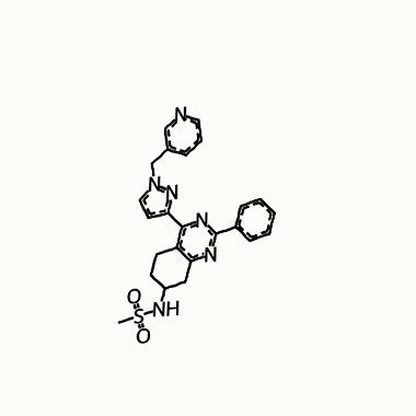 CS(=O)(=O)NC1CCc2c(nc(-c3ccccc3)nc2-c2ccn(Cc3cccnc3)n2)C1